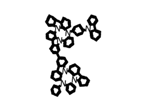 c1ccc(-n2c3ccccc3n3c4ccccc4c4cccc(c43)n3c4ccc(-c5ccc6c7cccc8c7n(c6c5)c5ccccc5n(-c5ccc(-n6c7ccccc7c7ccccc76)cc5)c5cccc6c7ccccc7n8c65)cc4c4cccc2c43)cc1